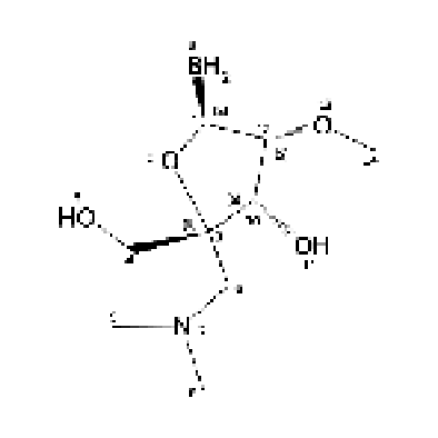 B[C@@H]1O[C@@](CO)(CN(C)C)[C@@H](O)[C@H]1OC